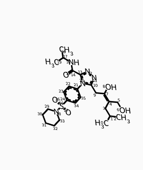 CC(C)C/C(CO)=C(/O)Cc1nnc(C(=O)NC(C)C)n1-c1ccc(S(=O)(=O)N2CCCCC2)cc1